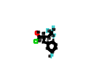 C[C@@](Cc1cccc(F)c1)(CC(F)(F)F)C(=O)Cl